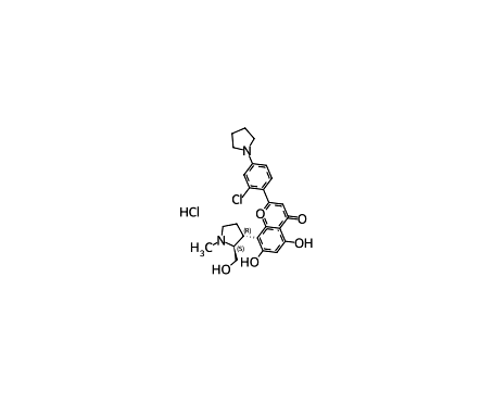 CN1CC[C@H](c2c(O)cc(O)c3c(=O)cc(-c4ccc(N5CCCC5)cc4Cl)oc23)[C@H]1CO.Cl